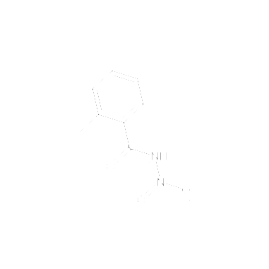 Cc1ccccc1C(=O)N[N+](=O)[O-]